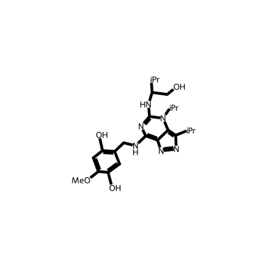 COc1cc(O)c(CNc2nc(NC(CO)C(C)C)n(C(C)C)c3c(C(C)C)nnc2-3)cc1O